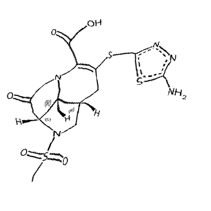 CS(=O)(=O)N1C[C@H]2CC(Sc3nnc(N)s3)=C(C(=O)O)N3C(=O)[C@@H]1[C@@H]23